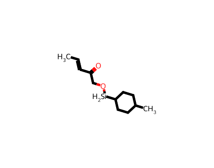 CC=CC(=O)CO[SiH2]C1CCC(C)CC1